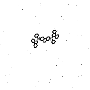 c1ccc(N(c2ccc3c(ccc4cc(N(c5ccccc5)c5cc6ccccc6c6ccccc56)ccc43)c2)c2cc3ccccc3c3ccccc23)cc1